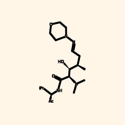 CC(=O)[C@H](NC(=O)[C@@H]([C@H](O)[C@H](C)C/C=N/N1CCOCC1)N(C)C)C(C)C